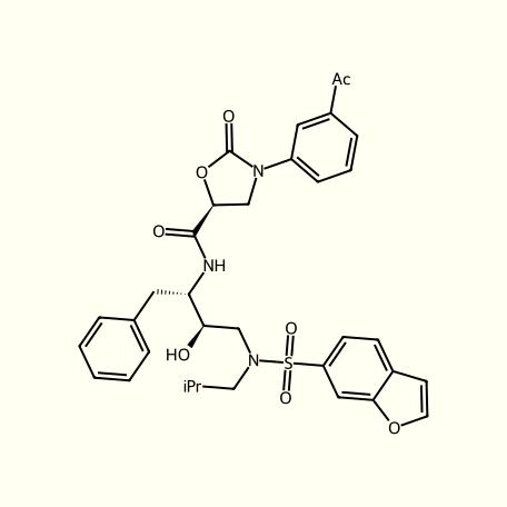 CC(=O)c1cccc(N2C[C@@H](C(=O)N[C@@H](Cc3ccccc3)[C@H](O)CN(CC(C)C)S(=O)(=O)c3ccc4ccoc4c3)OC2=O)c1